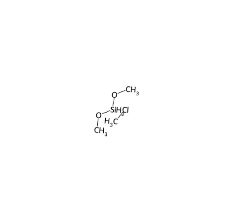 CCl.CO[SiH2]OC